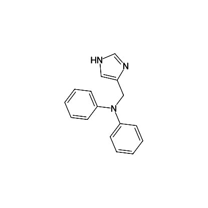 c1ccc(N(Cc2c[nH]cn2)c2ccccc2)cc1